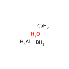 B.O.[AlH3].[CaH2]